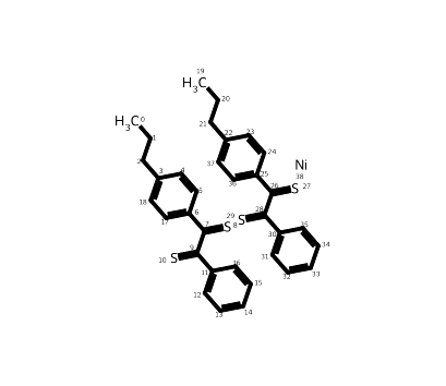 CCCc1ccc(C(=S)C(=S)c2ccccc2)cc1.CCCc1ccc(C(=S)C(=S)c2ccccc2)cc1.[Ni]